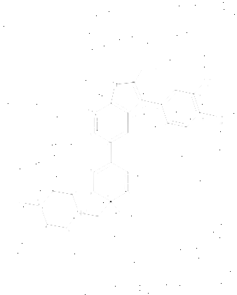 Cc1[nH]c2ncc(C3=CCC(C)(CN4CCN(C)CC4)C=C3)cc2c1-c1ccc(O)c(O)c1